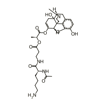 CC(=O)N[C@@H](CCCCN)C(=O)NCCC(=O)O[C@@H](C)C(=O)OC1=CC[C@]2(O)[C@@H]3Cc4ccc(O)c5c4[C@]2(CCN3C)[C@@H]1O5